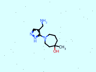 CC1(O)CCCN(c2[nH]ncc2CN)CC1